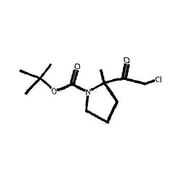 CC(C)(C)OC(=O)N1CCCC1(C)C(=O)CCl